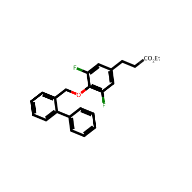 CCOC(=O)CCc1cc(F)c(OCc2ccccc2-c2ccccc2)c(F)c1